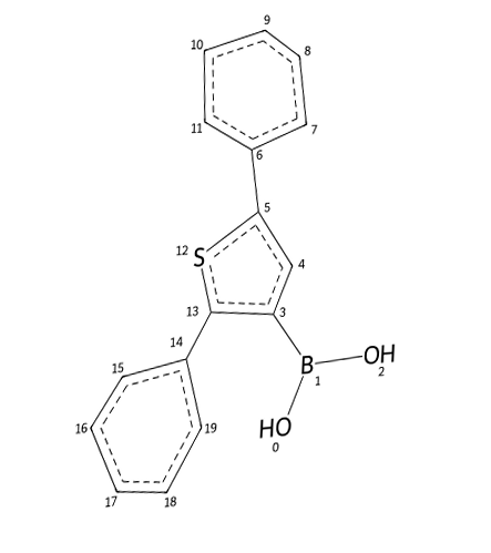 OB(O)c1cc(-c2ccccc2)sc1-c1ccccc1